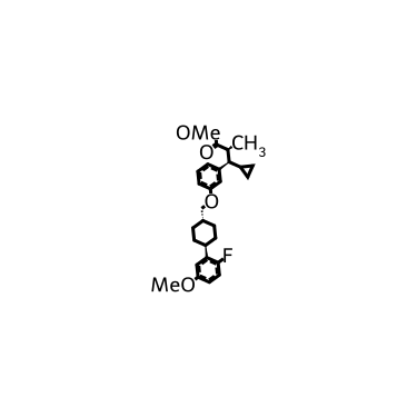 COC(=O)[C@@H](C)[C@H](c1cccc(OC[C@H]2CC[C@H](c3cc(OC)ccc3F)CC2)c1)C1CC1